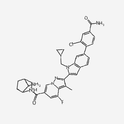 Cc1c(-c2cc3ccc(-c4ccc(C(N)=O)cc4Cl)cc3n2CC2CC2)nn2cc(C(=O)N3CC4CCC3[C@@H]4N)cc(F)c12